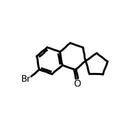 O=C1c2cc(Br)ccc2CCC12CCCC2